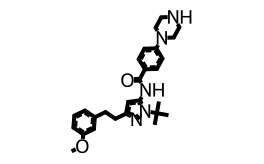 COc1cccc(CCc2cc(NC(=O)c3ccc(N4CCNCC4)cc3)n(C(C)(C)C)n2)c1